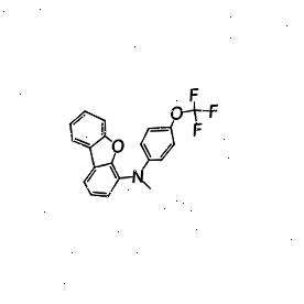 CN(c1ccc(OC(F)(F)F)cc1)c1cccc2c1oc1ccccc12